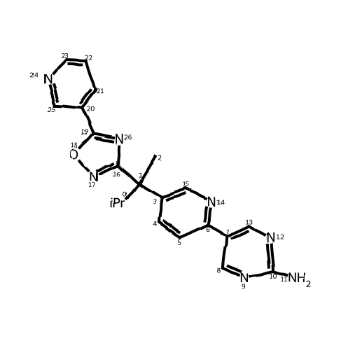 CC(C)C(C)(c1ccc(-c2cnc(N)nc2)nc1)c1noc(-c2cccnc2)n1